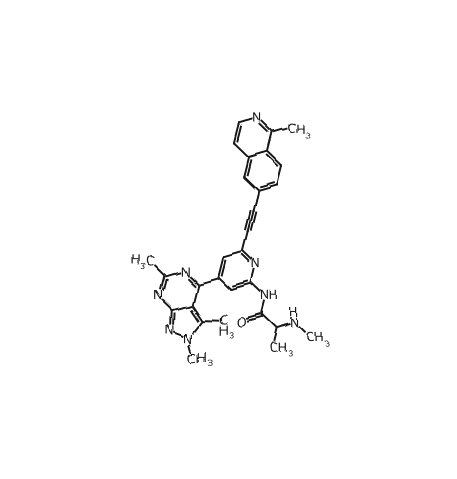 CNC(C)C(=O)Nc1cc(-c2nc(C)nc3nn(C)c(C)c23)cc(C#Cc2ccc3c(C)nccc3c2)n1